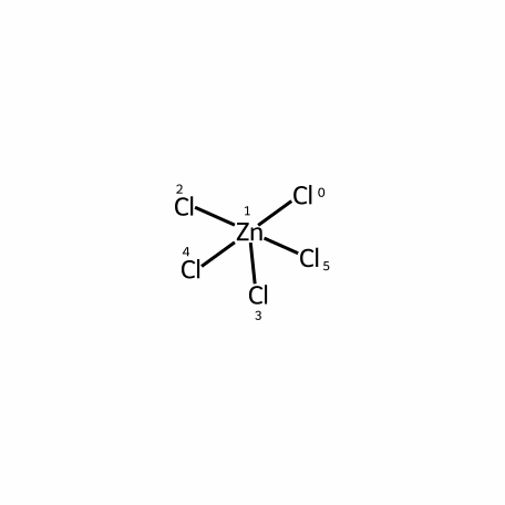 [Cl][Zn]([Cl])([Cl])([Cl])[Cl]